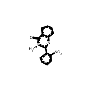 Cn1c(-c2ccccc2[N+](=O)[O-])nc2ccccc2c1=O